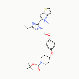 CCc1cn(CCOc2ccc(OC3CCN(C(=O)OC(C)(C)C)CC3)cc2)c(-c2cc3sccc3n2C)n1